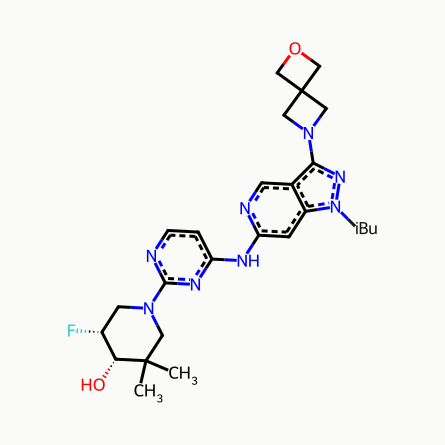 CCC(C)n1nc(N2CC3(COC3)C2)c2cnc(Nc3ccnc(N4C[C@@H](F)[C@@H](O)C(C)(C)C4)n3)cc21